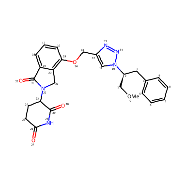 COC[C@H](Cc1ccccc1)n1cc(COc2cccc3c2CN(C2CCC(=O)NC2=O)C3=O)nn1